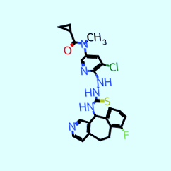 CN(C(=O)C1CC1)c1cnc(NNC(=S)NC2c3cnccc3CCc3c(F)cccc32)c(Cl)c1